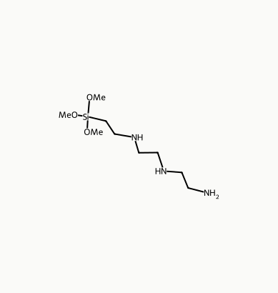 CO[Si](CCNCCNCCN)(OC)OC